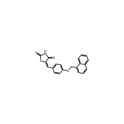 O=C1NC(=S)SC1=Cc1ccc(OCc2cccc3ccccc23)cc1